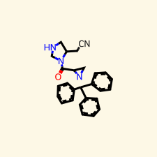 N#CCC1CNCN1C(=O)C1C[N@@]1C(c1ccccc1)(c1ccccc1)c1ccccc1